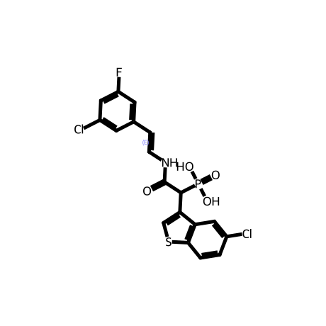 O=C(N/C=C/c1cc(F)cc(Cl)c1)C(c1csc2ccc(Cl)cc12)P(=O)(O)O